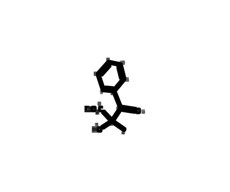 CCOC(=O)C(C)(O)C(=O)c1ccccc1